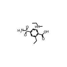 CCNC.CCc1cc(S(N)(=O)=O)ccc1C(=O)O